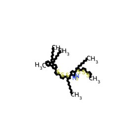 CCCCCCCCc1cc(-c2ccc(-c3cc(CCCCCCCC)c(-c4ccc(-c5ccc(-c6ccc7c(c6)-c6cc(C)ccc6C7(CCCCCCCC)CCCCCCCC)s5)s4)s3)c3nsnc23)sc1-c1ccc(-c2ccc(C)s2)s1